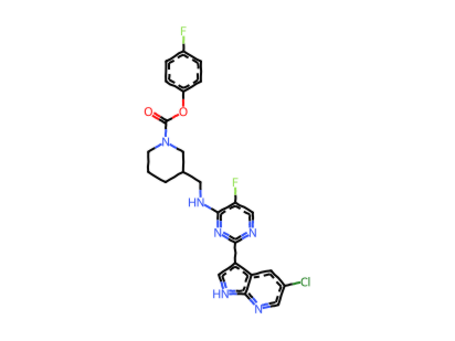 O=C(Oc1ccc(F)cc1)N1CCCC(CNc2nc(-c3c[nH]c4ncc(Cl)cc34)ncc2F)C1